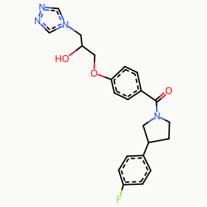 O=C(c1ccc(OCC(O)Cn2cnnc2)cc1)N1CCC(c2ccc(F)cc2)C1